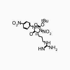 CC(C)(C)OC(=O)N([C@@H](CCCNC(=N)N)C(=O)Nc1ccc([N+](=O)[O-])cc1)[N+](=O)[O-]